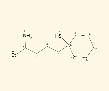 CCC(N)CCCC1(S)CCCCC1